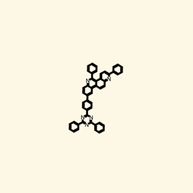 c1ccc(-c2ccc3c(ccc4c5cc(-c6ccc(-c7nc(-c8ccccc8)nc(-c8ccccc8)n7)cc6)ccc5nc(-c5ccccc5)c34)n2)cc1